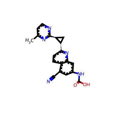 Cc1ccnc([C@H]2C[C@@H]2c2ccc3c(C#N)cc(NC(=O)O)cc3n2)n1